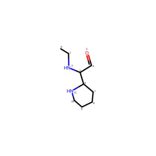 CCNC(C=O)C1CCCCN1